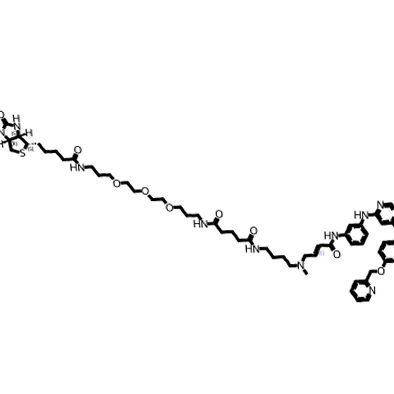 CN(C/C=C/C(=O)Nc1cccc(Nc2cc(Nc3ccc(OCc4ccccn4)c(CI)c3)ncn2)c1)CCCCNC(=O)CCCC(=O)NCCCOCCOCCOCCCNC(=O)CCCC[C@@H]1SC[C@@H]2NC(=O)N[C@@H]21